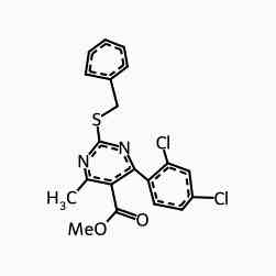 COC(=O)c1c(C)nc(SCc2ccccc2)nc1-c1ccc(Cl)cc1Cl